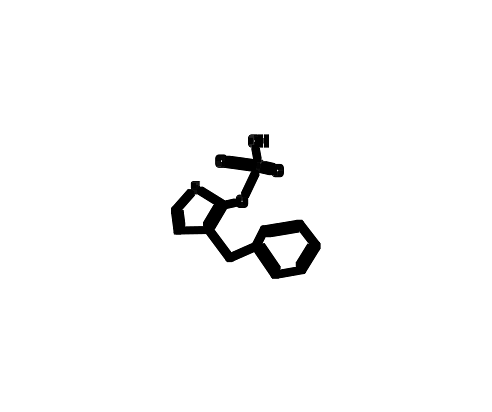 O=S(=O)(O)Oc1sccc1Cc1ccccc1